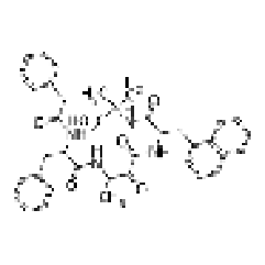 CC(NC(=O)C(Cc1ccccc1)NC(=O)Cc1ccccc1)C(=O)C(=O)NC(Cc1cccc2ccccc12)C(=O)NC(C)(C)C(=O)O